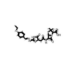 CCOc1ccc(C=NN=C2NC(=O)C(CC(=O)NC3C(=O)N4C3SC(C)(C)C4C(=O)O)S2)cc1